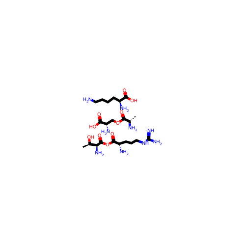 C[C@@H](O)[C@H](N)C(=O)OC(=O)[C@@H](N)CCCNC(=N)N.C[C@H](N)C(=O)OC[C@H](N)C(=O)O.NCCCC[C@H](N)C(=O)O